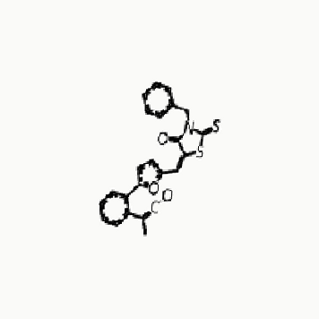 CC(=C=O)c1ccccc1-c1ccc(/C=C2/SC(=S)N(Cc3ccccc3)C2=O)o1